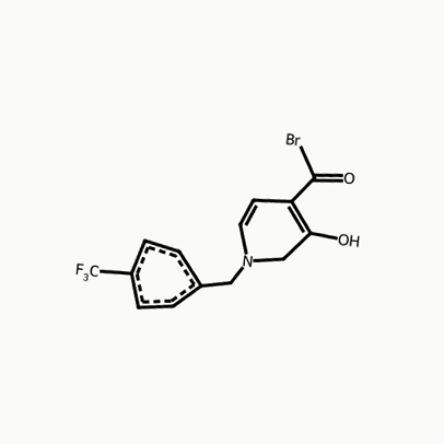 O=C(Br)C1=C(O)CN(Cc2ccc(C(F)(F)F)cc2)C=C1